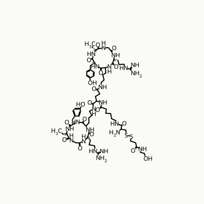 CC[C@H]1NC(=O)[C@H](Cc2ccc(O)cc2)NC(=O)C(CCCCNC(=O)CCC(NC(=O)CCCCCNC(=O)C(N)CSSCCC(=O)NCCO)C(=O)NCCCCC2NC(=O)[C@@H](CCCNC(=N)N)NC(=O)CNC(=O)[C@@H](CC)NC(=O)[C@H](Cc3ccc(O)cc3)NC2=O)NC(=O)[C@@H](CCCNC(=N)N)NC(=O)CNC1=O